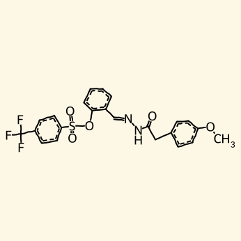 COc1ccc(CC(=O)NN=Cc2ccccc2OS(=O)(=O)c2ccc(C(F)(F)F)cc2)cc1